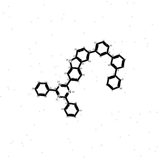 c1ccc(-c2cccc(-c3cccc(-c4ccc5oc6cc(-c7nc(-c8ccccc8)nc(-c8ccccc8)n7)ccc6c5c4)c3)c2)cc1